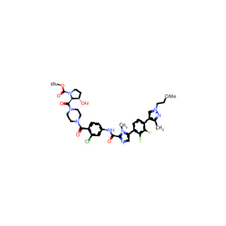 COCCn1cc(-c2ccc(-c3cnc(C(=O)Nc4ccc(C(=O)N5CCN(C(=O)[C@@H]6[C@@H](O)CCN6C(=O)OC(C)(C)C)CC5)c(Cl)c4)n3C)c(F)c2F)c(C)n1